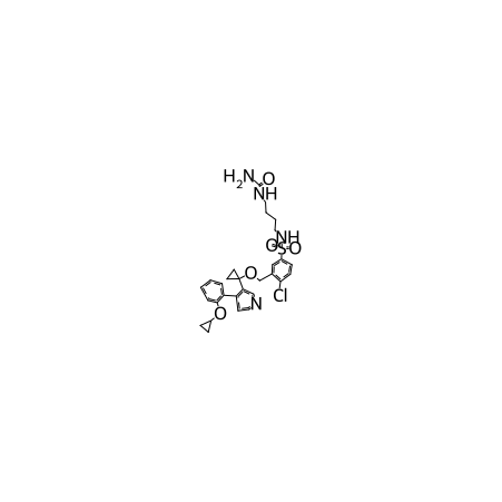 NC(=O)NCCCCNS(=O)(=O)c1ccc(Cl)c(COC2(c3cnccc3-c3ccccc3OC3CC3)CC2)c1